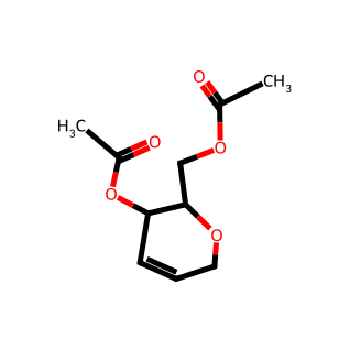 CC(=O)OCC1OCC=CC1OC(C)=O